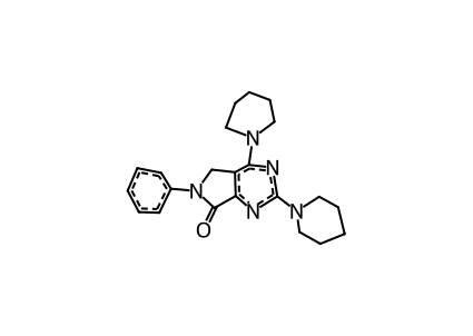 O=C1c2nc(N3CCCCC3)nc(N3CCCCC3)c2CN1c1ccccc1